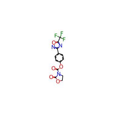 O=C1OCCN1C(=O)Oc1ccc(-c2noc(C(F)(F)F)n2)cc1